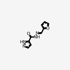 O=C(N/N=C/c1ccco1)c1ccn[nH]1